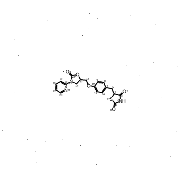 O=C1NC(=O)C(Cc2ccc(OCC3CN(c4ccccn4)C(=O)O3)cc2)S1